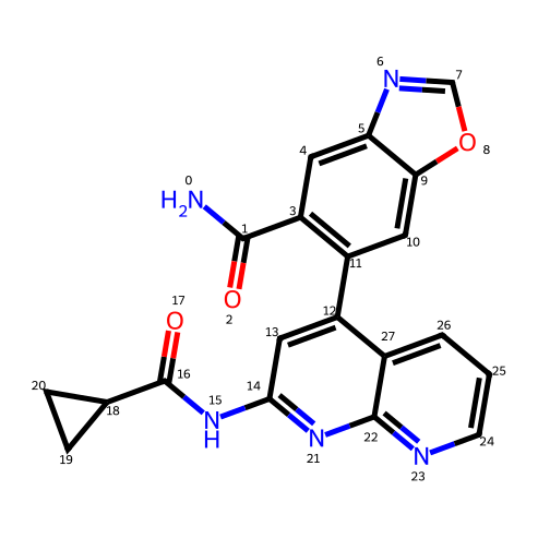 NC(=O)c1cc2ncoc2cc1-c1cc(NC(=O)C2CC2)nc2ncccc12